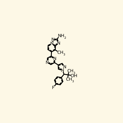 Cc1c(-c2cncc(-c3cnn(C(c4ccc(F)cc4)C(C)(C)O)c3)n2)ccn2nc(N)nc12